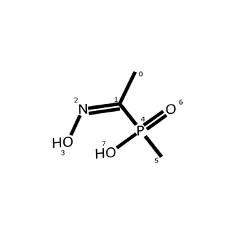 CC(=NO)P(C)(=O)O